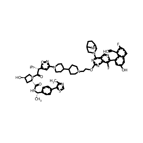 C#Cc1c(F)ccc2cc(O)cc(-c3ncc4c(N5CC6CCC(C5)N6)nc(OCCN5CCC(C6CCN(c7cc([C@H](C(=O)N8C[C@H](O)C[C@H]8C(=O)N[C@@H](C)c8ccc(-c9scnc9C)cc8)C(C)C)on7)CC6)CC5)nc4c3F)c12